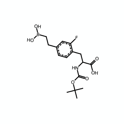 CC(C)(C)OC(=O)NC(Cc1ccc(CCB(O)O)cc1F)C(=O)O